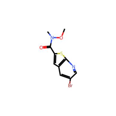 CON(C)C(=O)c1cc2cc(Br)cnc2s1